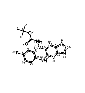 CC(C)(C)OC(=O)NNc1nc2nonc2nc1Nc1ccc(F)cc1